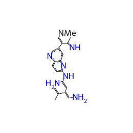 C=C(C)C(/C=C(\N)Nc1ccc2ncc(/C(=C/NC)C(C)=N)cc2n1)=C/N